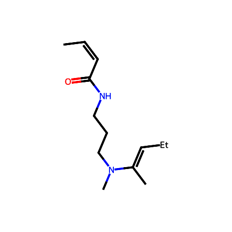 C/C=C\C(=O)NCCCN(C)C(C)=CCC